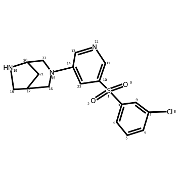 O=S(=O)(c1cccc(Cl)c1)c1cncc(N2CC3CNC(C3)C2)c1